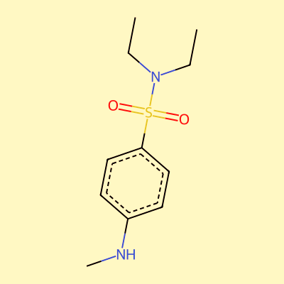 CCN(CC)S(=O)(=O)c1ccc(NC)cc1